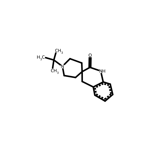 CC(C)(C)N1CCC2(CC1)Cc1ccccc1NC2=O